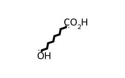 O=C(O)[CH]CCCCCC[CH]O